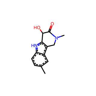 Cc1ccc2[nH]c3c(c2c1)CN(C)C(=O)C3O